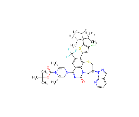 CC(C)[Si](c1sc(-c2c(C(F)(F)F)cc3c(N4C[C@@H](C)N(C(=O)OC(C)(C)C)[C@@H](C)C4)nc(=O)n4c3c2SC[C@@H](n2ncc3cccnc32)C4)cc1Cl)(C(C)C)C(C)C